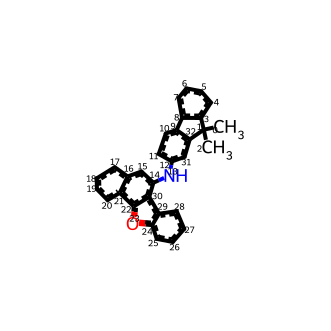 CC1(C)c2ccccc2-c2ccc(Nc3cc4ccccc4c4oc5ccccc5c34)cc21